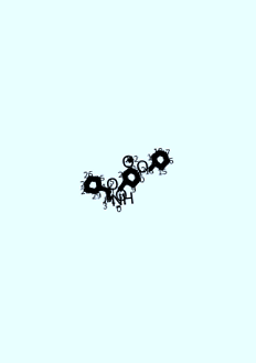 CN[C@H](C)[C@@H](OC(=O)c1ccc(OCc2ccccc2)c(OC)c1)c1ccccc1